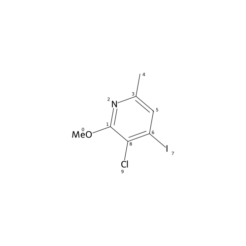 COc1nc(C)cc(I)c1Cl